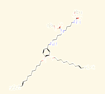 CCCCCCCCC=CCCCCCCCCOc1ccc(CNCCCCN(CCCCNC(=O)OC(C)(C)C)C(=O)OC(C)(C)C)cc1OCCCCCCCCC=CCCCCCCCC